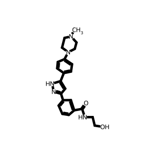 CN1CCN(c2ccc(-c3cc(-c4cccc(C(=O)NCCO)c4)n[nH]3)cc2)CC1